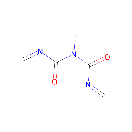 C=NC(=O)N(C)C(=O)N=C